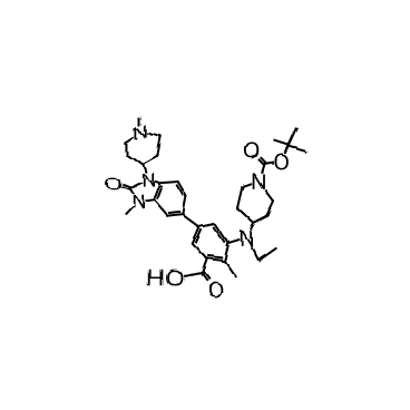 CCN(c1cc(-c2ccc3c(c2)n(C)c(=O)n3C2CCN(C)CC2)cc(C(=O)O)c1C)C1CCN(C(=O)OC(C)(C)C)CC1